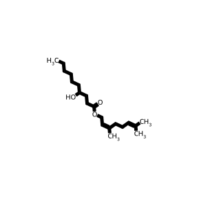 CCCCCCC(O)CCC(=O)OCC=C(C)CCC=C(C)C